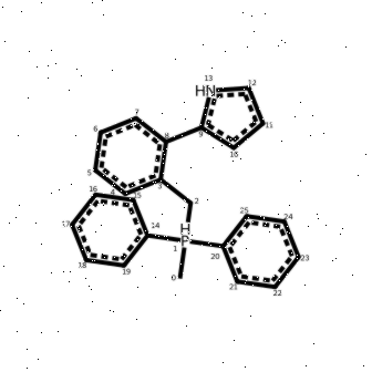 C[PH](Cc1ccccc1-c1ccc[nH]1)(c1ccccc1)c1ccccc1